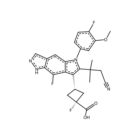 COc1cc(-n2c(C(C)(C)CC#N)c([C@H]3C[C@](F)(C(=O)O)C3)c3c(F)c4[nH]ncc4cc32)ccc1F